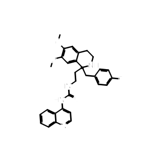 COc1cc2c(cc1OC)C(CCNC(=O)Nc1ccnc3ccccc13)(Cc1ccc(F)cc1)NCC2